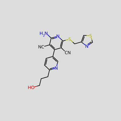 N#Cc1c(N)nc(SCc2cscn2)c(C#N)c1-c1ccc(CCCO)nc1